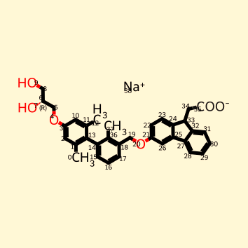 Cc1cc(OC[C@H](O)CO)cc(C)c1-c1cccc(COc2ccc3c(c2)-c2ccccc2C3CC(=O)[O-])c1C.[Na+]